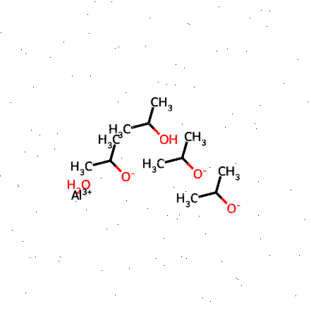 CC(C)O.CC(C)[O-].CC(C)[O-].CC(C)[O-].O.[Al+3]